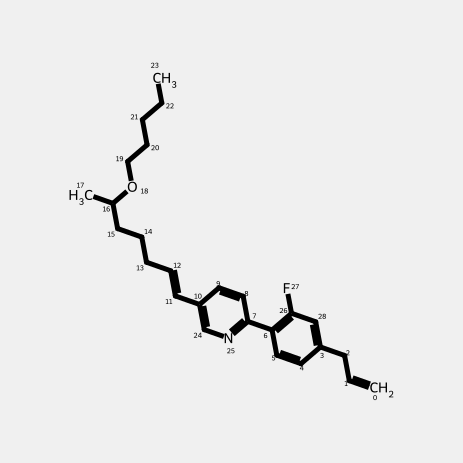 C=CCc1ccc(-c2ccc(C=CCCCC(C)OCCCCC)cn2)c(F)c1